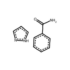 NC(=O)c1ccccc1.c1cn[nH]c1